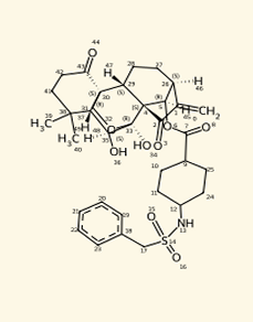 C=C1C(=O)[C@]23[C@H](OC(=O)C4CCC(NS(=O)(=O)Cc5ccccc5)CC4)[C@H]1CC[C@H]2[C@@]12CO[C@@]3(O)[C@@H](O)[C@@H]1C(C)(C)CCC2=O